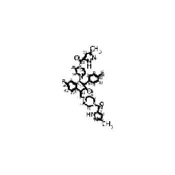 Cc1cc(C(=O)N2CCN(CC(C(=O)C(CN3CCN(C(=O)c4cc(C)n[nH]4)CC3)c3ccc(F)cc3)c3ccc(F)cc3)CC2)[nH]n1